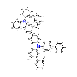 Cc1ccccc1-c1cc(N(c2ccc(-c3ccccc3)cc2)c2ccc(-c3cc4c5ccccc5n(-c5ccccc5)c4c4c3Cc3ccccc3-4)cc2)ccc1C